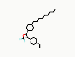 C=C[C@H]1CC[C@H]([C@H]2[C@H](C3CCC(CCCCCCCCC)CC3)OC2(F)F)CC1